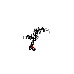 CC(C)c1ccccc1[C@@H]1CCCN1C1CC2(CCN(c3ccc(C(=O)NS(=O)(=O)c4cc(N)c5c(c4)OCC(C)(CCN(C)C)N5)c(Oc4cnc5[nH]ccc5c4)c3)CC2)C1